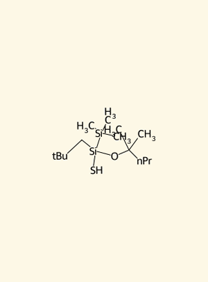 CCCC(C)(C)O[Si](S)(CC(C)(C)C)[Si](C)(C)C